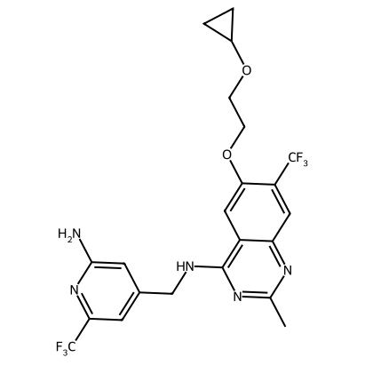 Cc1nc(NCc2cc(N)nc(C(F)(F)F)c2)c2cc(OCCOC3CC3)c(C(F)(F)F)cc2n1